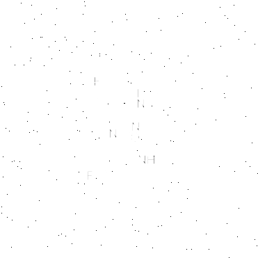 Cc1nc(NC2(CCC(C)C(=O)Nc3ccc(F)cc3)CCC2)c2cc(F)ccc2n1